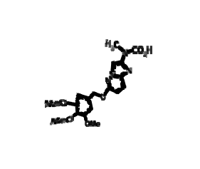 COc1cc(COc2ccc3nc(N(C)C(=O)O)cn3n2)cc(OC)c1OC